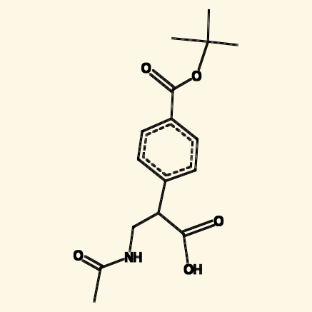 CC(=O)NCC(C(=O)O)c1ccc(C(=O)OC(C)(C)C)cc1